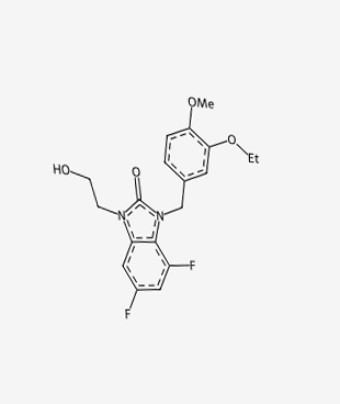 CCOc1cc(Cn2c(=O)n(CCO)c3cc(F)cc(F)c32)ccc1OC